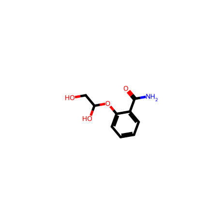 NC(=O)c1ccccc1OC(O)CO